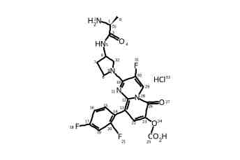 C[C@H](N)C(=O)NC1CCN(c2nc3c(-c4ccc(F)cc4F)cc(OC(=O)O)c(=O)n3cc2F)C1.Cl